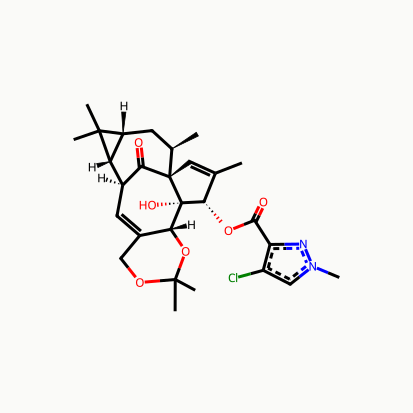 CC1=C[C@]23C(=O)[C@@H](C=C4COC(C)(C)O[C@H]4[C@]2(O)[C@H]1OC(=O)c1nn(C)cc1Cl)[C@H]1[C@@H](C[C@H]3C)C1(C)C